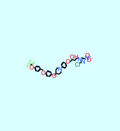 O=[N+]([O-])c1cn(CC[C@H](O)COc2ccc(N3CCC(Oc4ccc(OCc5ccc(OC(F)(F)F)cc5)cc4)CC3)cc2)c(Cl)n1